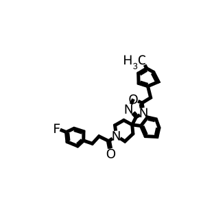 Cc1ccc(Cc2nc(C3(c4ccccc4)CCN(C(=O)CCc4ccc(F)cc4)CC3)no2)cc1